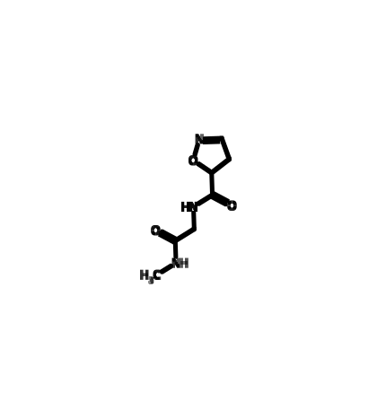 CNC(=O)CNC(=O)C1CC=NO1